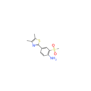 Cc1nc(-c2ccc(N)c(S(C)(=O)=O)c2)sc1C